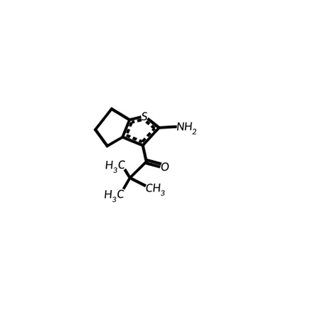 CC(C)(C)C(=O)c1c(N)sc2c1CCC2